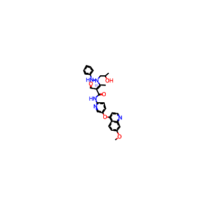 COc1ccc2c(Oc3ccc(NC(=O)/C(C=O)=C(\C)N(CC(C)O)Nc4ccccc4)nc3)ccnc2c1